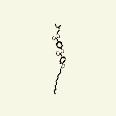 C=CCCCCCCCCOc1ccc(C(=O)Oc2ccc(C(=O)OCCC(C)CC)cc2)cc1